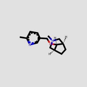 Cc1ccc(CO[C@H]2[C@@H]3CC[C@H]2CN(C)C3)cn1